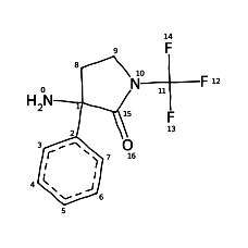 NC1(c2ccccc2)CCN(C(F)(F)F)C1=O